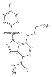 CCOC(=O)CCCc1ccc(C(=N)NO)c2ccn(S(=O)(=O)c3ccc(C)cc3)c12